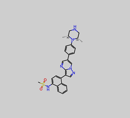 C[C@@H]1CNC[C@H](C)N1c1ccc(-c2cnc3c(-c4ccc(NS(C)(=O)=O)c5ccccc45)cnn3c2)cc1